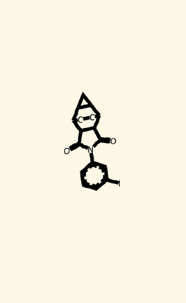 O=C1C2C3CCC(C4CC43)C2C(=O)N1c1cccc(I)c1